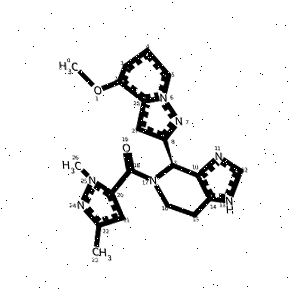 COc1cccn2nc([C@H]3c4nc[nH]c4CCN3C(=O)c3cc(C)nn3C)cc12